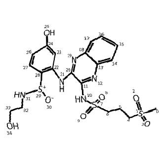 CS(=O)(=O)CCCS(=O)(=O)Nc1nc2ccccc2nc1Nc1cc(O)ccc1[S+]([O-])NCCO